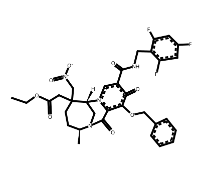 CCOC(=O)CC1(C[N+](=O)[O-])CC[C@H](C)N2C[C@H]1n1cc(C(=O)NCc3c(F)cc(F)cc3F)c(=O)c(OCc3ccccc3)c1C2=O